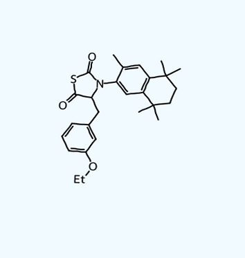 CCOc1cccc(CC2C(=O)SC(=O)N2c2cc3c(cc2C)C(C)(C)CCC3(C)C)c1